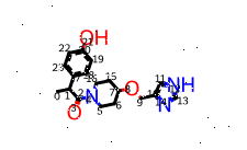 CC(C(=O)N1CCC(OCc2c[nH]cn2)CC1)c1ccc(O)cc1